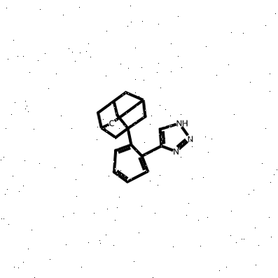 c1ccc(C23CC4CC(CC(C4)C2)C3)c(-c2c[nH]nn2)c1